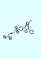 CCCOn1cc(-c2ccccc2)c(=O)c(-c2ccc(S(=O)(=O)CCC#CCC(Br)Br)cc2)c1